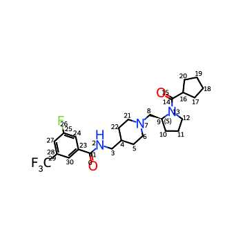 O=C(NCC1CCN(C[C@@H]2CCCN2C(=O)C2CCCC2)CC1)c1cc(F)cc(C(F)(F)F)c1